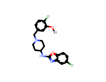 CCOc1cc(CN2CCC(Nc3nc4cc(Cl)ccc4o3)CC2)ccc1Cl